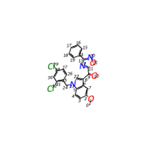 COc1ccc2c(c1)c(C(=O)c1nc(-c3ccccc3)no1)cn2Cc1ccc(Cl)cc1Cl